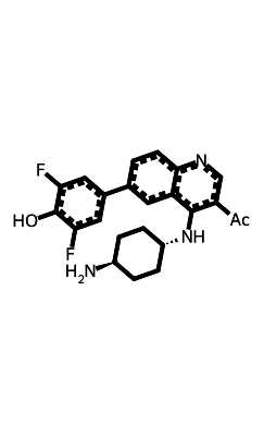 CC(=O)c1cnc2ccc(-c3cc(F)c(O)c(F)c3)cc2c1N[C@H]1CC[C@H](N)CC1